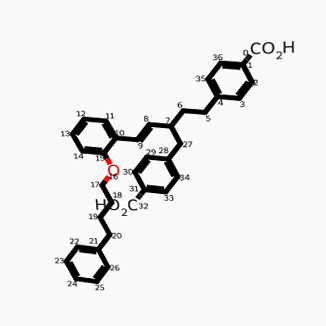 O=C(O)c1ccc(CCC(C=Cc2ccccc2OCCCCc2ccccc2)Cc2ccc(C(=O)O)cc2)cc1